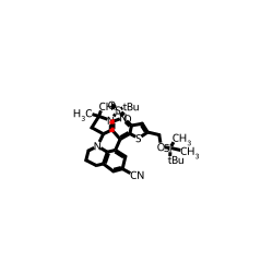 CC1(C)CC(N2CCCc3cc(C#N)cc(-c4ccnc5cc(CO[Si](C)(C)C(C)(C)C)sc45)c32)CN1S(=O)(=O)C(C)(C)C